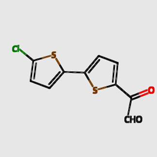 O=CC(=O)c1ccc(-c2ccc(Cl)s2)s1